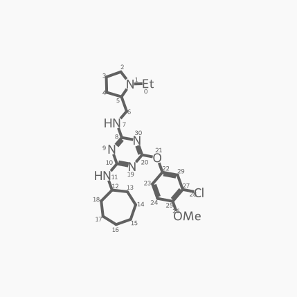 CCN1CCCC1CNc1nc(NC2CCCCCC2)nc(Oc2ccc(OC)c(Cl)c2)n1